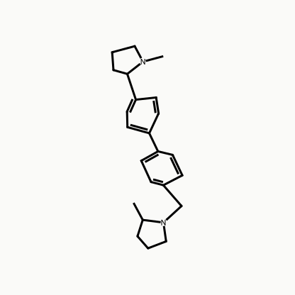 CC1CCCN1Cc1ccc(-c2ccc(C3CCCN3C)cc2)cc1